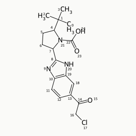 CC(C)(C)C1CCC(c2nc3ccc(C(=O)CCl)cc3[nH]2)N1C(=O)O